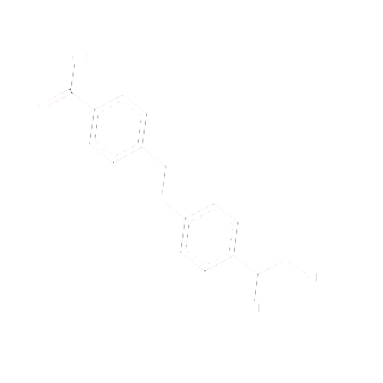 CSC(C)c1ccc(SCc2ccc(C(C)=O)cc2)cc1